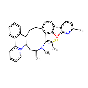 C=C1CC2C(CCc3ccc4c(oc5nc(C)ccc54)c3/C(=C(/C)S)N1C)c1ccccc1-c1cccc[n+]12